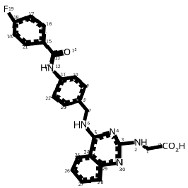 O=C(O)CNc1nc(NCc2ccc(NC(=O)c3ccc(F)cc3)cc2)c2ccccc2n1